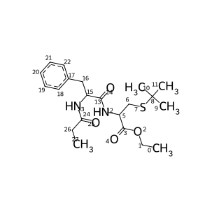 CCOC(=O)C(CSC(C)(C)C)NC(=O)C(Cc1ccccc1)NC(=O)CC